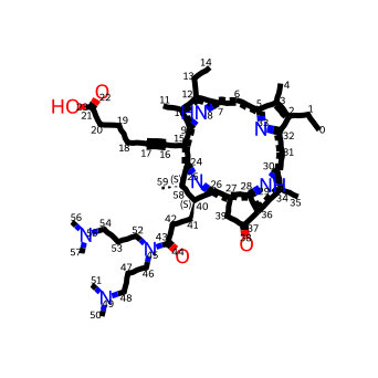 CCC1=C(C)c2cc3[nH]c(c(C)c3CC)c(C#CCCCC(=O)O)c3nc(c4c5[nH]c(cc1n2)c(C)c5C(=O)C4)[C@@H](CCC(=O)N(CCCN(C)C)CCCN(C)C)[C@@H]3C